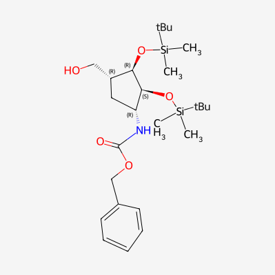 CC(C)(C)[Si](C)(C)O[C@@H]1[C@@H](CO)C[C@@H](NC(=O)OCc2ccccc2)[C@@H]1O[Si](C)(C)C(C)(C)C